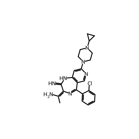 C/C(N)=C1\N=C(c2ccccc2Cl)c2cnc(N3CCN(C4CC4)CC3)cc2NC1=N